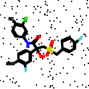 COc1ccc(C(O)(CS(=O)(=O)Cc2ccc(F)cc2)C(=O)Nc2ccc(C#N)c(Cl)c2)cc1F